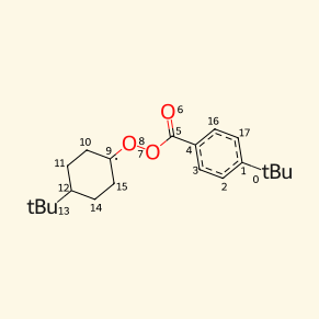 CC(C)(C)c1ccc(C(=O)OO[C]2CCC(C(C)(C)C)CC2)cc1